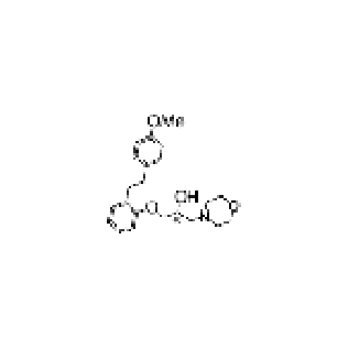 COc1ccc(CCc2ccccc2OC[C@H](O)CN2CCOCC2)cc1